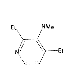 CCc1ccnc(CC)c1NC